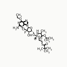 CCOc1nc(N)nc2c1ncn2[C@@H]1O[C@H](COP(=O)(NC(C)C(=O)OC(C)C)OCCSC(=O)C(C)(C)C)[C@@H](O)[C@@]1(F)Cl